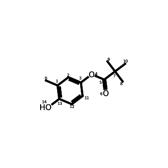 Cc1cc(OC(=O)C(C)(C)C)ccc1O